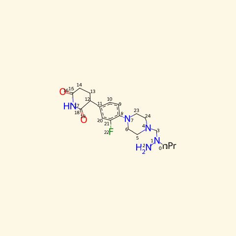 CCCN(N)CN1CCN(c2ccc(C3CCC(=O)NC3=O)cc2F)CC1